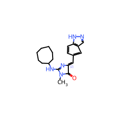 CN1C(=O)/C(=C/c2ccc3[nH]ncc3c2)N=C1NC1CCCCCCC1